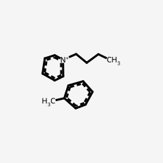 CCCC[n+]1ccccc1.Cc1ccccc1